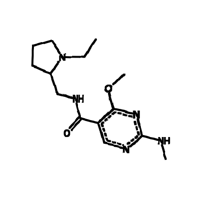 CCN1CCCC1CNC(=O)c1cnc(NC)nc1OC